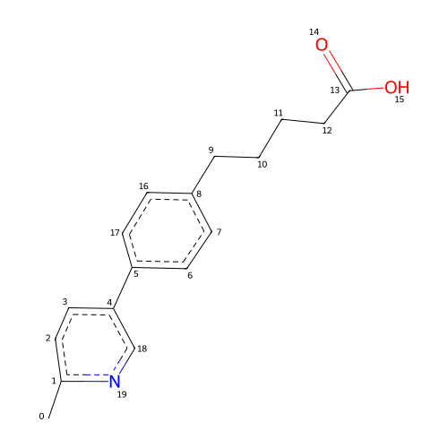 Cc1ccc(-c2ccc(CCCCC(=O)O)cc2)cn1